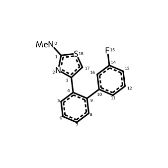 CNc1nc(-c2ccccc2-c2cccc(F)c2)cs1